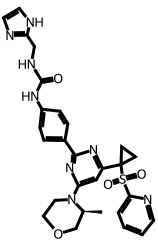 C[C@H]1COCCN1c1cc(C2(S(=O)(=O)c3ccccn3)CC2)nc(-c2ccc(NC(=O)NCc3ncc[nH]3)cc2)n1